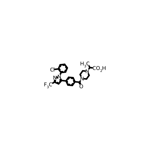 CC(C(=O)O)N1CCN(C(=O)c2ccc(-c3cc(C(F)(F)F)nn3-c3ccccc3Cl)cc2)CC1